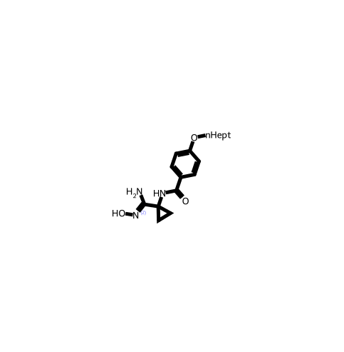 CCCCCCCOc1ccc(C(=O)NC2(/C(N)=N/O)CC2)cc1